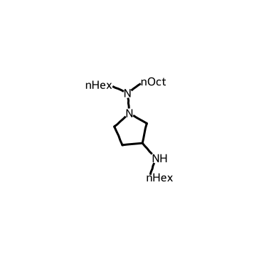 CCCCCCCCN(CCCCCC)N1CCC(NCCCCCC)C1